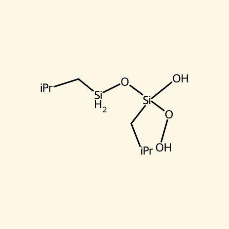 CC(C)C[SiH2]O[Si](O)(CC(C)C)OO